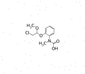 COC(CCl)Oc1ccccc1N(C)C(=O)O